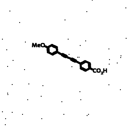 COc1ccc(C#CC#Cc2ccc(C(=O)O)cc2)cc1